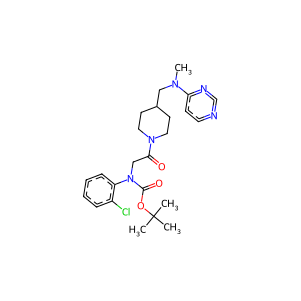 CN(CC1CCN(C(=O)CN(C(=O)OC(C)(C)C)c2ccccc2Cl)CC1)c1ccncn1